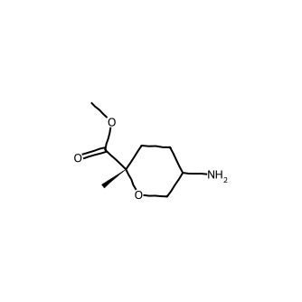 COC(=O)[C@]1(C)CCC(N)CO1